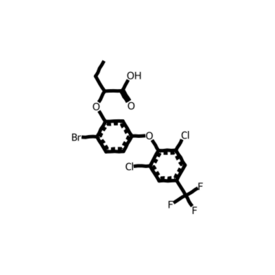 CCC(Oc1cc(Oc2c(Cl)cc(C(F)(F)F)cc2Cl)ccc1Br)C(=O)O